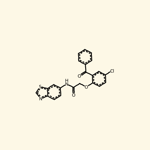 O=C(COc1ccc(Cl)cc1C(=O)c1ccccc1)Nc1ccc2ncsc2c1